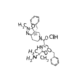 CN1N=C2CCN(C(=O)[C@@H](COCc3ccccc3)NC(=O)C(C)(C)N)C[C@]2(Cc2ccccc2)C1=O.Cl